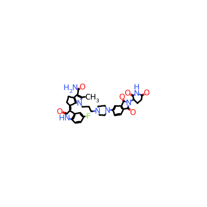 Cc1c(C(N)=O)c2c(n1CCCN1CCN(c3ccc4c(c3)C(=O)N(C3CCC(=O)NC3=O)C4=O)CC1)/C(=C1/C(=O)Nc3ccc(F)cc31)CC2